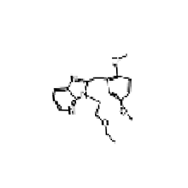 CCOCCn1c(Cc2cc(OC)ccc2OC)nc2cccnc21